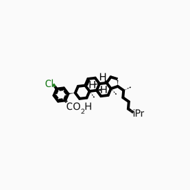 CC(C)CCC[C@@H](C)[C@H]1CC[C@H]2[C@@H]3CC=C4C[C@@H](c5cc(Cl)ccc5C(=O)O)CC[C@]4(C)[C@H]3CC[C@]12C